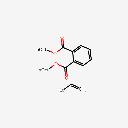 C=CCC.CCCCCCCCOC(=O)c1ccccc1C(=O)OCCCCCCCC